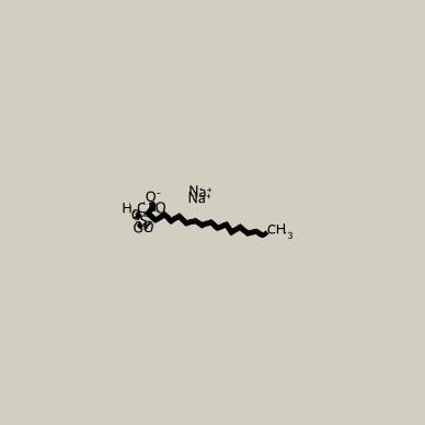 CCCCCCCCCCCCCCCCC(C)(C(=O)[O-])S(=O)(=O)[O-].[Na+].[Na+]